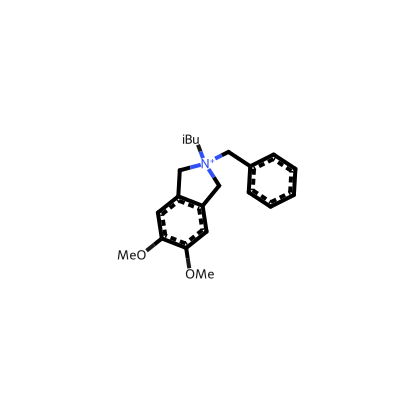 CCC(C)[N+]1(Cc2ccccc2)Cc2cc(OC)c(OC)cc2C1